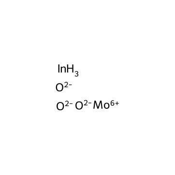 [InH3].[Mo+6].[O-2].[O-2].[O-2]